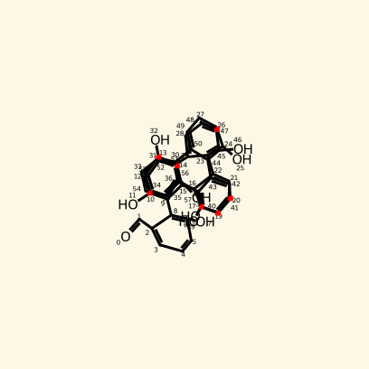 O=Cc1cccc(O)c1-c1c(O)cccc1-c1c(O)cccc1-c1c(O)cccc1-c1c(O)cccc1-c1c(O)cccc1-c1c(O)cccc1-c1ccccc1O